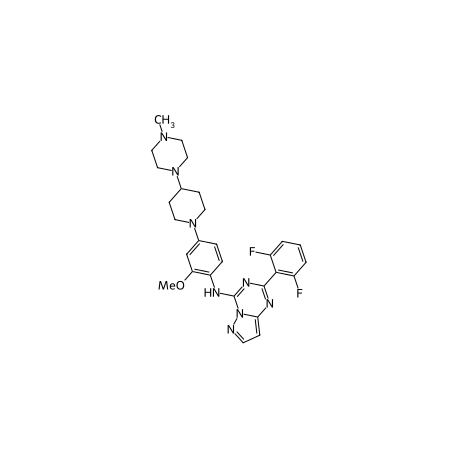 COc1cc(N2CCC(N3CCN(C)CC3)CC2)ccc1Nc1nc(-c2c(F)cccc2F)nc2ccnn12